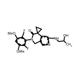 COc1cc(OC)c(F)c(N2Cc3cnc(NCC(C)O)cc3C3(CC3)C2=O)c1F